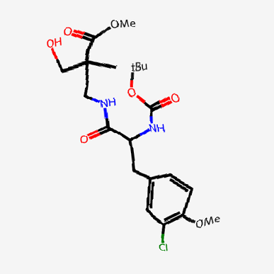 COC(=O)C(C)(CO)CNC(=O)C(Cc1ccc(OC)c(Cl)c1)NC(=O)OC(C)(C)C